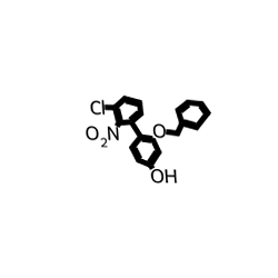 O=[N+]([O-])c1c(Cl)cccc1-c1ccc(O)cc1OCc1ccccc1